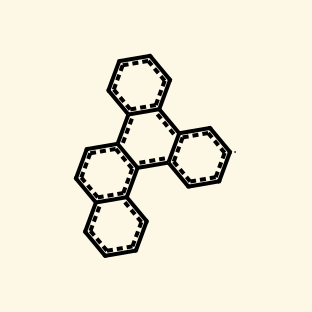 [c]1ccc2c(c1)c1ccccc1c1ccc3ccccc3c21